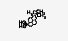 CC(C)(C)c1cc2ccc3ccc(B(O)O)c4ccc(c1)c2c34